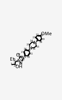 CC[C@@H](C(C)O)n1ncn(-c2ccc(N3CCN(c4ccc(OC)cc4)CC3)cc2)c1=O